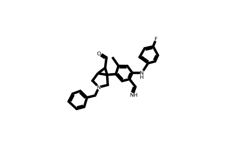 Cc1cc(Nc2ccc(F)cc2)c(C=N)cc1C12CN(Cc3ccccc3)CC1C2C=O